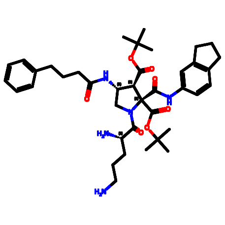 CC(C)(C)OC(=O)[C@@H]1[C@@H](NC(=O)CCCc2ccccc2)CN(C(=O)[C@@H](N)CCCN)[C@@]1(C(=O)Nc1ccc2c(c1)CCC2)C(=O)OC(C)(C)C